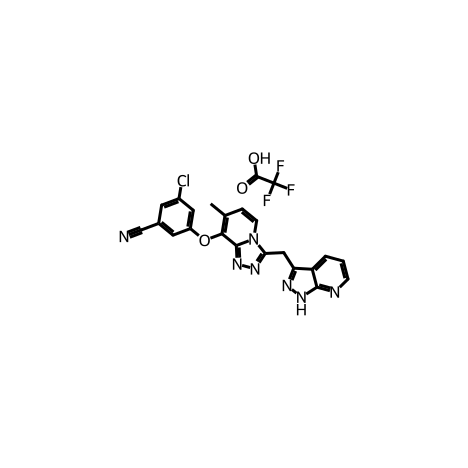 Cc1ccn2c(Cc3n[nH]c4ncccc34)nnc2c1Oc1cc(Cl)cc(C#N)c1.O=C(O)C(F)(F)F